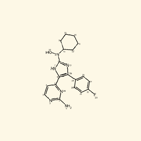 Nc1nccc(-c2[nH]c(N(O)C3CCCCC3)nc2-c2ccc(F)cc2)n1